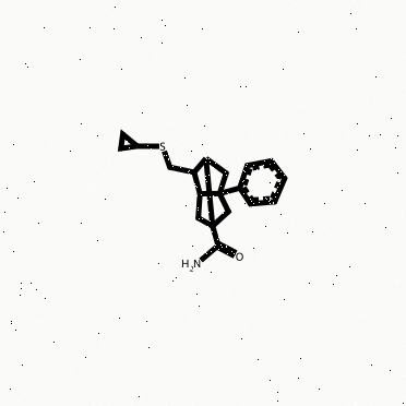 NC(=O)C12CC3C(CSC4CC4)C1CC3(c1ccccc1)C2